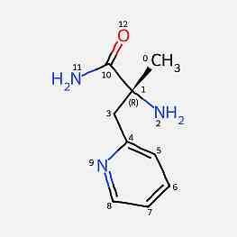 C[C@@](N)(Cc1ccccn1)C(N)=O